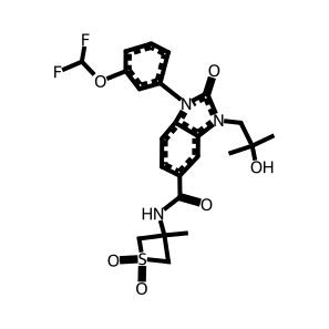 CC(C)(O)Cn1c(=O)n(-c2cccc(OC(F)F)c2)c2ccc(C(=O)NC3(C)CS(=O)(=O)C3)cc21